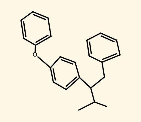 CC(C)[C](Cc1ccccc1)c1ccc(Oc2ccccc2)cc1